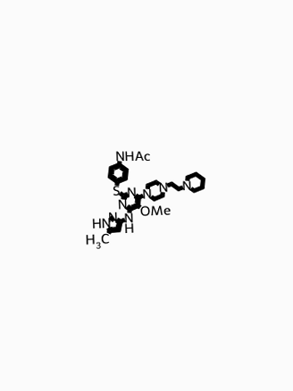 COc1c(Nc2cc(C)[nH]n2)nc(Sc2ccc(NC(C)=O)cc2)nc1N1CCN(CCN2CCCCC2)CC1